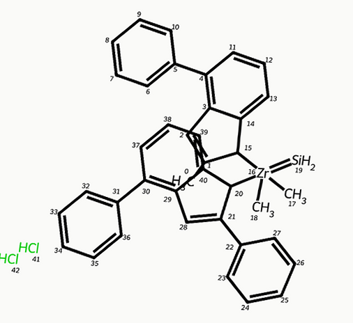 CC1=Cc2c(-c3ccccc3)cccc2[CH]1[Zr]([CH3])([CH3])(=[SiH2])[CH]1C(c2ccccc2)=Cc2c(-c3ccccc3)cccc21.Cl.Cl